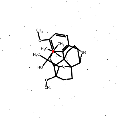 COc1ccc2c3c1OC1C4(OC)CCC5(CC4C(C)(O)C(C)(C)C)C(C2)NCCC315